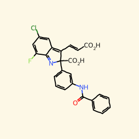 O=C(O)C=CC1=c2cc(Cl)cc(F)c2=NC1(C(=O)O)c1cccc(NC(=O)c2ccccc2)c1